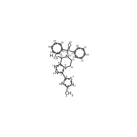 Cc1nsc(-c2nnc3n2CCN(P(=O)(c2ccccc2)c2ccccc2)C3C)n1